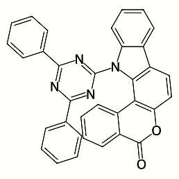 O=c1oc2ccc3c4ccccc4n(-c4nc(-c5ccccc5)nc(-c5ccccc5)n4)c3c2c2ccccc12